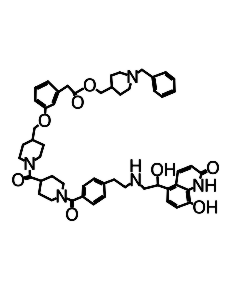 O=C(Cc1cccc(OCC2CCN(C(=O)C3CCN(C(=O)c4ccc(CCNCC(O)c5ccc(O)c6[nH]c(=O)ccc56)cc4)CC3)CC2)c1)OCC1CCN(Cc2ccccc2)CC1